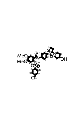 C=CC(N1CCC(O)CC1)S(=O)(=O)c1ccc(NC(=O)c2cc(OC)c(OC)cc2NS(=O)(=O)c2ccc(Cl)cc2)cc1